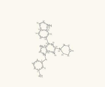 CCc1cccc(Cn2cnc3c(-c4ccc5cc[nH]c5c4)nc(N4CCOCC4)nc32)c1